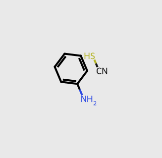 N#CS.Nc1ccccc1